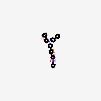 c1ccc(-c2ccc(N(c3ccc(-c4ccc5c(c4)oc4cc6nc(-c7ccccc7)oc6cc45)cc3)c3ccc4oc5ccccc5c4c3)cc2)cc1